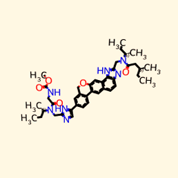 CC[C@H](C)CC(=O)N(Cc1nc2ccc3cc4c(cc3c2[nH]1)OCc1cc(-c2cnc(CN(C(=O)CNC(=O)OC)[C@@H](C)CC)[nH]2)ccc1-4)[C@@H](C)CC